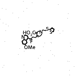 COc1ccc2nccc([C@@H](F)CC[C@@H]3CCN(CCSc4cccs4)C[C@@H]3C(=O)O)c2c1